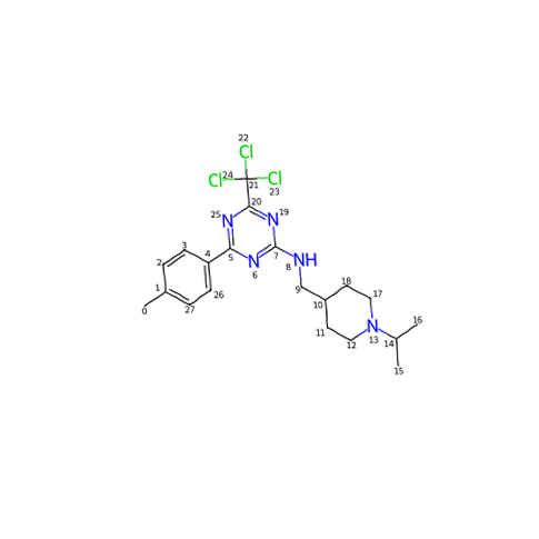 Cc1ccc(-c2nc(NCC3CCN(C(C)C)CC3)nc(C(Cl)(Cl)Cl)n2)cc1